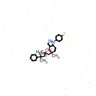 CC(O)(CC1(C)C=Cc2c(cnn2-c2ccc(F)cc2)C1)CC(C)(C)c1ccccc1